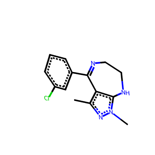 Cc1nn(C)c2c1C(c1cccc(Cl)c1)=NCCN2